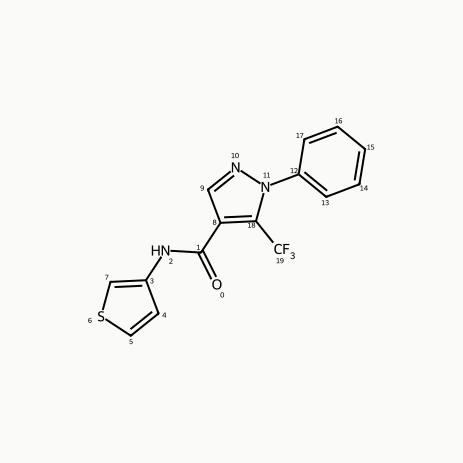 O=C(Nc1ccsc1)c1cnn(-c2ccccc2)c1C(F)(F)F